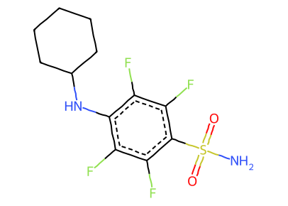 NS(=O)(=O)c1c(F)c(F)c(NC2CCCCC2)c(F)c1F